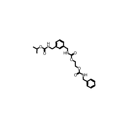 CC(C)OC(=O)NCc1cccc(CNC(=O)OCCOC(=O)NCc2ccccc2)c1